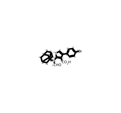 O=CN(c1scc(-c2ccc(Br)cc2)c1C(=O)O)C12CC3CC(CC(C3)C1)C2